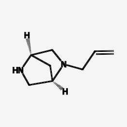 C=CCN1C[C@H]2C[C@@H]1CN2